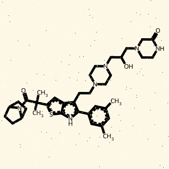 Cc1cc(C)cc(-c2[nH]c3sc(C(C)(C)C(=O)N4C5CCC4CC5)cc3c2CCN2CCN(CC(O)CN3CCNC(=O)C3)CC2)c1